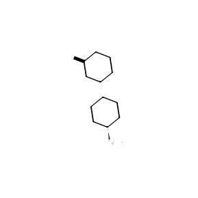 CCCCC[C@H]1CC[C@H](C2CCCC(=O)C2)CC1